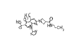 CCCNC(=O)C1CN(c2cc(C)c3c(=O)c(C(=O)O)cn(-c4nccs4)c3n2)C1